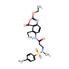 CCOc1nc2ccc(NC(=O)CCN(C)S(=O)(=O)c3ccc(C)cc3)c(CC)c2c(=O)o1